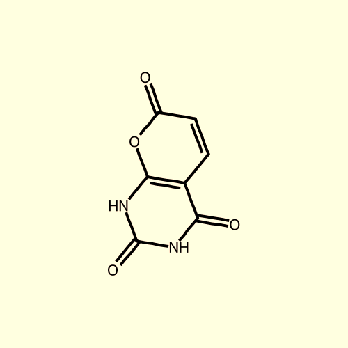 O=c1[nH]c(=O)c2ccc(=O)oc2[nH]1